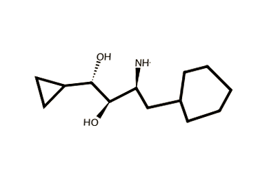 [NH][C@@H](CC1CCCCC1)[C@@H](O)[C@@H](O)C1CC1